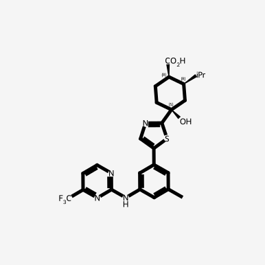 Cc1cc(Nc2nccc(C(F)(F)F)n2)cc(-c2cnc([C@]3(O)CC[C@@H](C(=O)O)[C@@H](C(C)C)C3)s2)c1